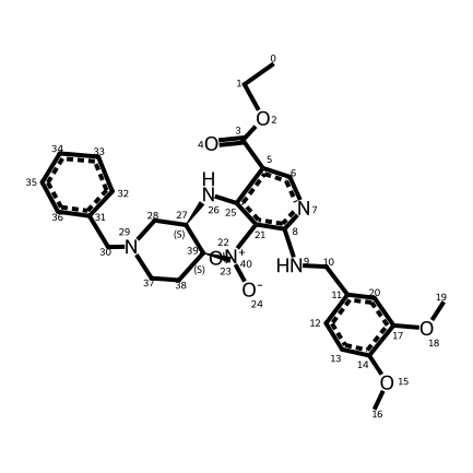 CCOC(=O)c1cnc(NCc2ccc(OC)c(OC)c2)c([N+](=O)[O-])c1N[C@@H]1CN(Cc2ccccc2)CC[C@@H]1C